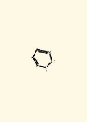 [C]1=NSSC=C1